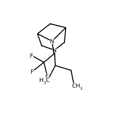 CCC(C)N1CC2CC(C1)N2CC(F)(F)F